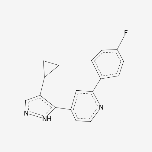 Fc1ccc(-c2cc(-c3[nH]ncc3C3CC3)ccn2)cc1